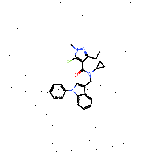 CCc1nn(C)c(F)c1C(=O)N(Cc1cn(-c2ccccc2)c2ccccc12)C1CC1